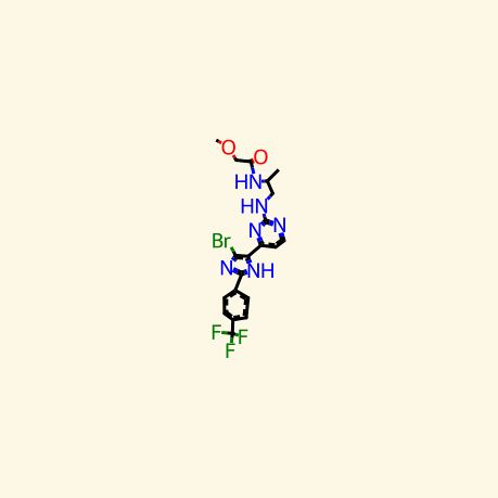 COCC(=O)NC(C)CNc1nccc(-c2[nH]c(-c3ccc(C(F)(F)F)cc3)nc2Br)n1